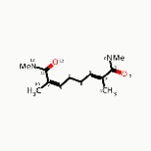 CNC(=O)C(C)=CCCC=C(C)C(=O)NC